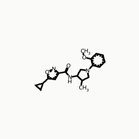 COc1ccccc1N1CC(C)C(NC(=O)c2cc(C3CC3)on2)C1